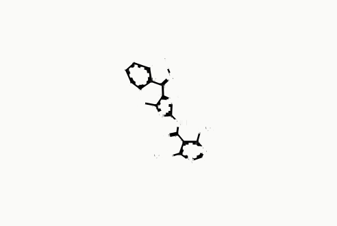 COc1ncnc(OC)c1C(=O)Nc1nc(C(F)(F)F)c(/C(=N/O)c2ccccc2)s1